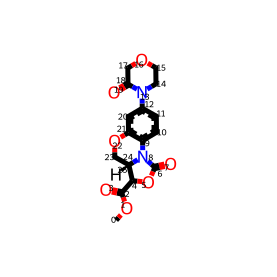 COC(=O)C1OC(=O)N2c3ccc(N4CCOCC4=O)cc3OC[C@@H]12